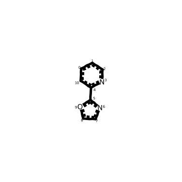 [c]1ccnc(-c2ncco2)c1